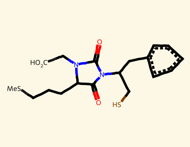 CSCCCC1C(=O)N(C(CS)Cc2ccccc2)C(=O)N1CC(=O)O